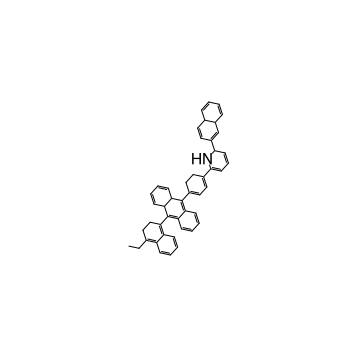 CCC1=c2ccccc2=C(C2=c3ccccc3=C(C3=CC=C(C4=CC=CC(C5=CC6C=CC=CC6C=C5)N4)CC3)C3C=CC=CC23)CC1